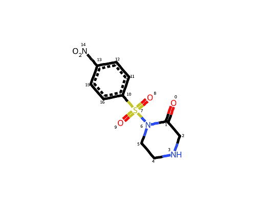 O=C1CNCCN1S(=O)(=O)c1ccc([N+](=O)[O-])cc1